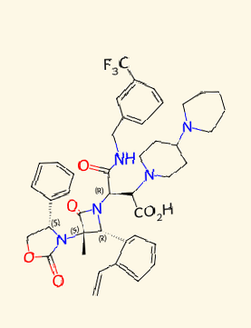 C=Cc1ccccc1[C@H]1N([C@@H](C(=O)NCc2cccc(C(F)(F)F)c2)C(C(=O)O)N2CCC(N3CCCCC3)CC2)C(=O)[C@@]1(C)N1C(=O)OC[C@@H]1c1ccccc1